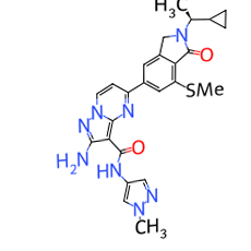 CSc1cc(-c2ccn3nc(N)c(C(=O)Nc4cnn(C)c4)c3n2)cc2c1C(=O)N([C@@H](C)C1CC1)C2